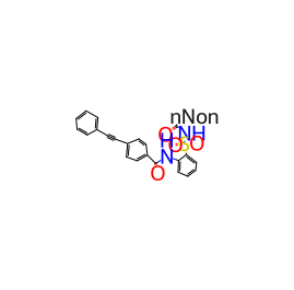 CCCCCCCCCC(=O)NS(=O)(=O)c1ccccc1NC(=O)c1ccc(C#Cc2ccccc2)cc1